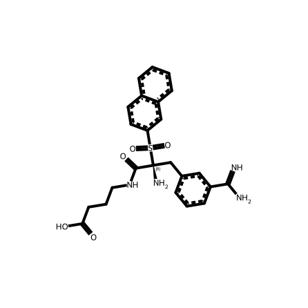 N=C(N)c1cccc(C[C@](N)(C(=O)NCCCC(=O)O)S(=O)(=O)c2ccc3ccccc3c2)c1